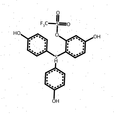 O=S(=O)(Oc1cc(O)ccc1[SH](c1ccc(O)cc1)c1ccc(O)cc1)C(F)(F)F